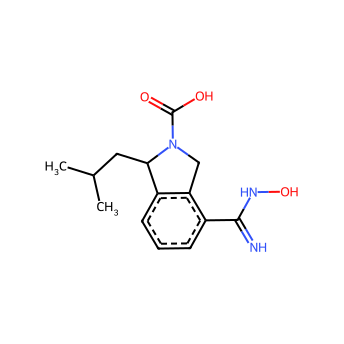 CC(C)CC1c2cccc(C(=N)NO)c2CN1C(=O)O